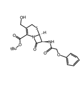 CC(C)(C)OC(=O)C1=C(CO)CS[C@H]2[C@@H](NC(=O)COc3ccccc3)C(=O)N12